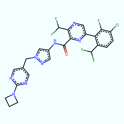 O=C(Nc1cnn(Cc2cnc(N3CCC3)nc2)c1)c1nc(-c2c(C(F)F)ccc(Cl)c2F)cnc1C(F)F